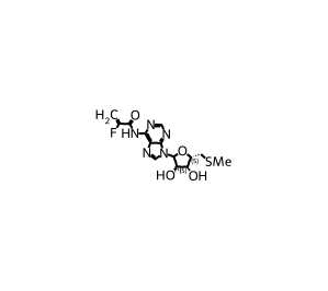 C=C(F)C(=O)Nc1ncnc2c1ncn2C1O[C@H](CSC)[C@@H](O)[C@H]1O